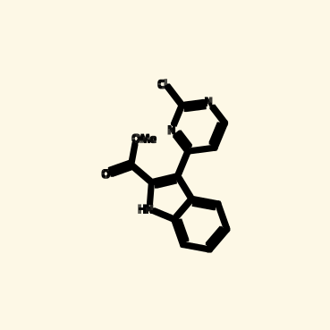 COC(=O)c1[nH]c2ccccc2c1-c1ccnc(Cl)n1